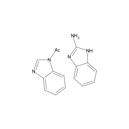 CC(=O)n1cnc2ccccc21.Nc1nc2ccccc2[nH]1